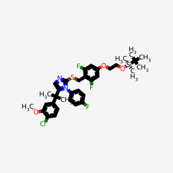 COc1cc(C(C)(C)c2cnc(SCc3c(F)cc(OCCO[Si](C)(C)C(C)(C)C)cc3F)n2-c2ccc(F)cc2)ccc1Cl